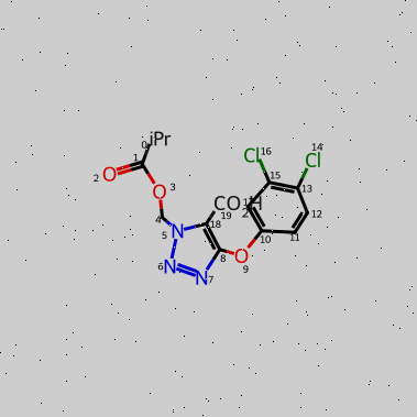 CC(C)C(=O)OCn1nnc(Oc2ccc(Cl)c(Cl)c2)c1C(=O)O